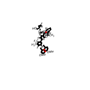 COc1ccc(CN(Cc2ccc(OC)cc2)c2cc(-c3nc4c5c(nc(OC[C@]6(CO)CC6(F)F)nc5c3F)N3C[C@H]5CC[C@@H]([C@H]3[C@H](C)O4)N5C(=O)OC(C)(C)C)c(C(F)(F)F)c(C)c2F)cc1